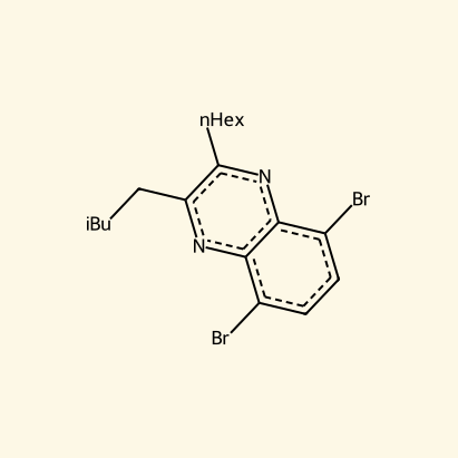 CCCCCCc1nc2c(Br)ccc(Br)c2nc1CC(C)CC